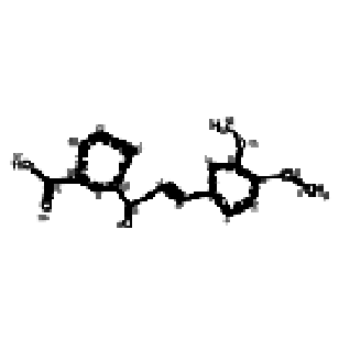 COc1ccc(/C=C/C(=O)c2cccc(C(=O)O)c2)cc1OC